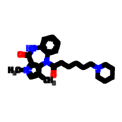 Cc1cn(C)c2c1N(C(=O)CCCCCN1CCCCC1)c1ccccc1NC2=O